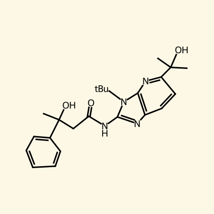 CC(C)(O)c1ccc2nc(NC(=O)CC(C)(O)c3ccccc3)n(C(C)(C)C)c2n1